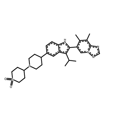 Cc1c(-c2[nH]c3ccc(C4CCN(C5CCS(=O)(=O)CC5)CC4)cc3c2C(C)C)cn2ncnc2c1C